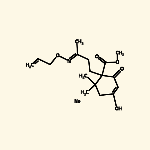 C=CCON=C(C)CCC1(C(=O)OC)C(=O)C=C(O)CC1(C)C.[Na]